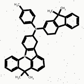 Cc1ccc(N(C2=CC3=C(CC2)c2ccccc2C3(C)C)C2C=Cc3c(c4cccc5c4n3-c3ccccc3C5(C)C)C2)cc1